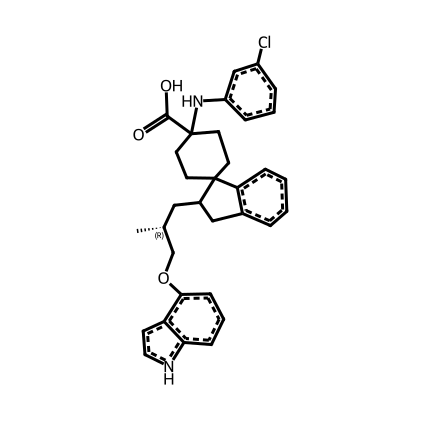 C[C@@H](COc1cccc2[nH]ccc12)CC1Cc2ccccc2C12CCC(Nc1cccc(Cl)c1)(C(=O)O)CC2